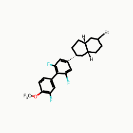 CCC1CC[C@@H]2C[C@H](c3cc(F)c(-c4ccc(OC(F)(F)F)c(F)c4)c(F)c3)CC[C@@H]2C1